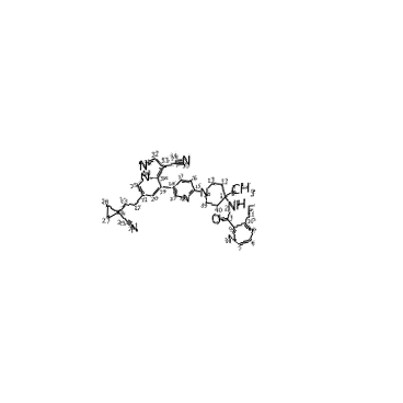 CC1(NC(=O)c2ncccc2F)CCN(c2ccc(-c3cc(CCC4(C#N)CC4)cn4ncc(C#N)c34)cn2)CC1